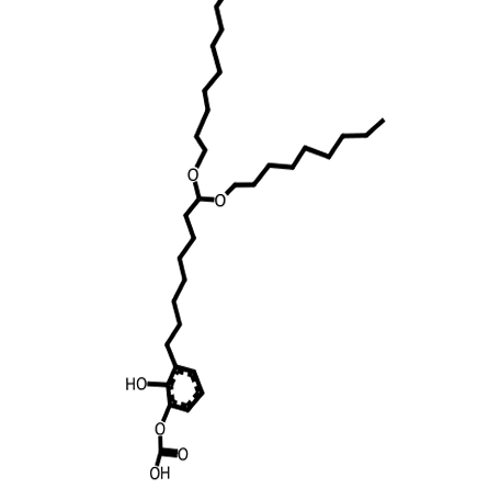 CCCCCCCCCOC(CCCCCCCc1cccc(OC(=O)O)c1O)OCCCCCCCCC